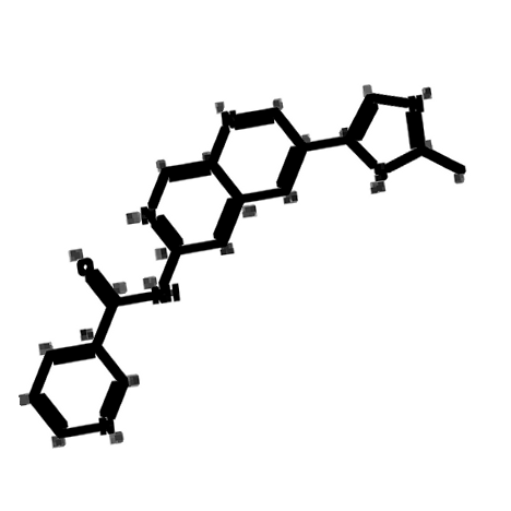 Cc1ncc(-c2cnc3cnc(NC(=O)c4cccnc4)cc3c2)s1